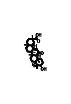 CC1(C)[C@H]2CC[C@@]3(C)[C@@H](C(=O)C=C4[C@H]5C[C@@](C)(C(=O)O)CC[C@@]5(C)CC[C@@]43C)[C@]2(C)CC[C@@H]1O